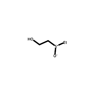 [CH2]C[S+]([O-])CCO